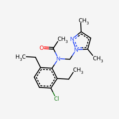 CCc1ccc(Cl)c(CC)c1N(Cn1nc(C)cc1C)C(C)=O